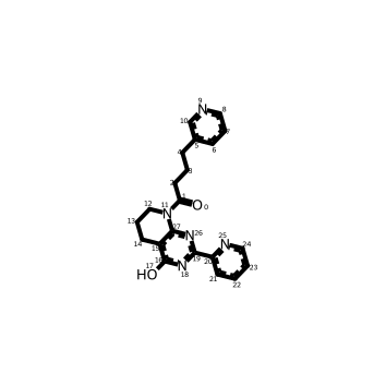 O=C(CCCc1cccnc1)N1CCCc2c(O)nc(-c3ccccn3)nc21